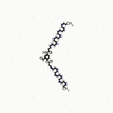 CC/C=C\C/C=C\C/C=C\C/C=C\C/C=C\C/C=C\C/C=C\CCC(=O)Nc1ccc(OC(=O)CC/C=C\C/C=C\C/C=C\C/C=C\C/C=C\C/C=C\CC)c(C=O)c1